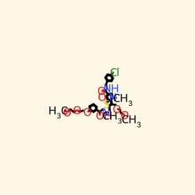 COCCOCCOc1cccc(C(O)CN(C)Cc2sc3c(=O)c(C(=O)NCc4ccc(Cl)cc4)cn(C)c3c2COCCOC)c1